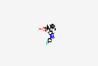 CC(C)(CO)C(c1ccccc1)c1ccc2c(cnn2-c2ccc(F)cc2)c1